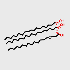 CCCCCCCCCCCCCCCCCC(=O)O.CCCCCCCCCCCCCCCCCCOO.CCCCCCCCCCCCCCCCCCOO